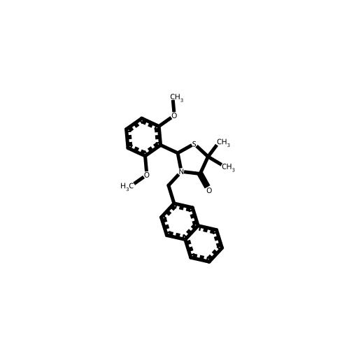 COc1cccc(OC)c1C1SC(C)(C)C(=O)N1Cc1ccc2ccccc2c1